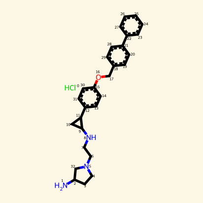 Cl.NC1CCN(CCNC2CC2c2ccc(OCc3ccc(-c4ccccc4)cc3)cc2)C1